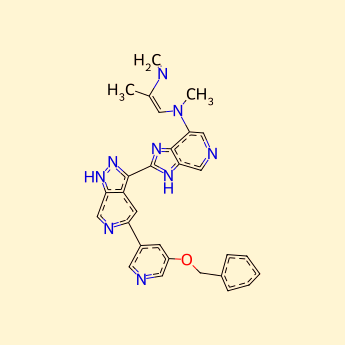 C=N/C(C)=C\N(C)c1cncc2[nH]c(-c3n[nH]c4cnc(-c5cncc(OCc6ccccc6)c5)cc34)nc12